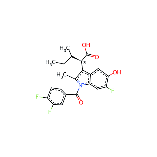 CCC(C)[C@@H](C(=O)O)c1c(C)n(C(=O)c2ccc(F)c(F)c2)c2cc(F)c(O)cc12